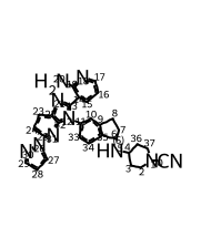 N#CN1CCC(N[C@H]2CCc3cc(-n4c(-c5cccnc5N)nc5ccc(-n6cccn6)nc54)ccc32)CC1